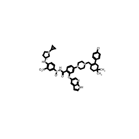 CC1(C)CCC(CN2CCN(c3ccc(C(=O)N[S+]([O-])c4ccc(N[C@H]5CCN(C6CC6)C5)c([N+](=O)[O-])c4)c(Oc4cnc5[nH]ccc5c4)c3)CC2)=C(c2ccc(Cl)cc2)C1